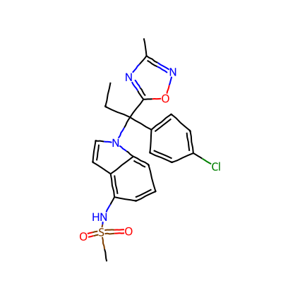 CCC(c1ccc(Cl)cc1)(c1nc(C)no1)n1ccc2c(NS(C)(=O)=O)cccc21